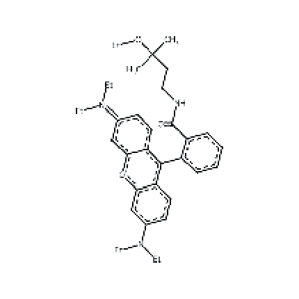 CCOC(C)(C)CCNC(=O)c1ccccc1-c1c2ccc(=[N+](CC)CC)cc-2oc2cc(N(CC)CC)ccc12